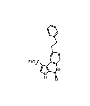 CCOC(=O)c1c[nH]c2c(=O)[nH]c3ccc(CCc4ccccc4)cc3c12